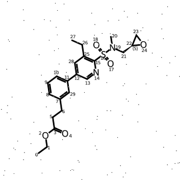 CCOC(=O)CCc1cccc(-c2cnc(S(=O)(=O)N(C)C[C@H]3CO3)c(CC)c2)c1